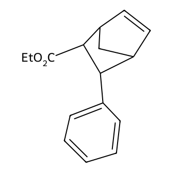 CCOC(=O)C1C2C=CC(C2)C1c1ccccc1